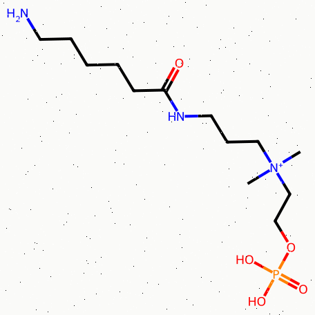 C[N+](C)(CCCNC(=O)CCCCCN)CCOP(=O)(O)O